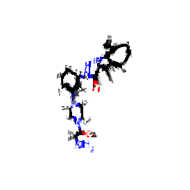 Cc1cccc2cc(C(=O)Nc3cccc(N4CCN(C(=O)CN)CC4)c3)[nH]c12